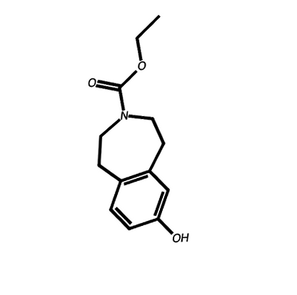 CCOC(=O)N1CCc2ccc(O)cc2CC1